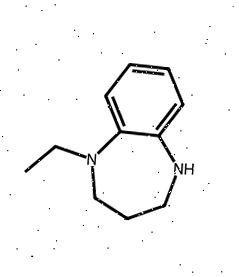 CCN1CC[CH]Nc2ccccc21